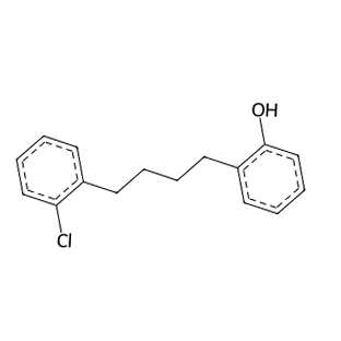 Oc1ccccc1CCCCc1ccccc1Cl